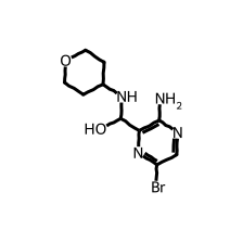 Nc1ncc(Br)nc1C(O)NC1CCOCC1